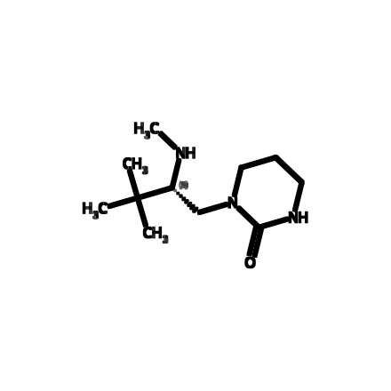 CN[C@H](CN1CCCNC1=O)C(C)(C)C